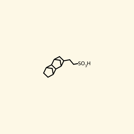 O=S(=O)(O)CCC1CC2CC1C1C3CCC(C3)C21